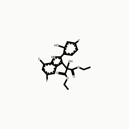 CCOC(=O)C(O)(C(=O)OCC)c1c(-c2ccc(F)cc2O)[nH]c2c(F)cc(F)cc12